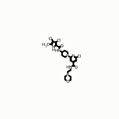 Cc1[nH]c(C(=O)NC2CCN(c3cc(C(=O)NCCN4CCOCC4)cc(Cl)n3)CC2)c(Cl)c1Cl